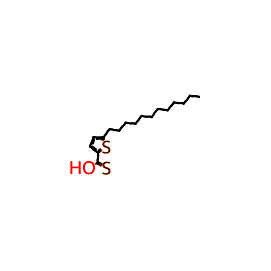 CCCCCCCCCCCCc1ccc(C(O)=S)s1